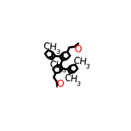 CC1CC2CC1C(C1C3CC(CC3CC3CO3)C1C1C3CC(CC4CO4)C(C3)C1C1C(C)C3CC(C)C1C3)C2C